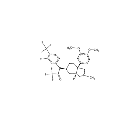 COc1ccc([C@]23CC[C@H](N(C(=O)C(F)(F)F)c4ccc(C(F)(F)F)c(F)c4)C[C@H]2CN(C)C3)cc1OC